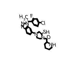 C[C@H](c1ccc(Cl)cc1F)n1nnc2ccc(N3CCN(C(=O)C4CCCCN4)[C@H](S)C3)cc21